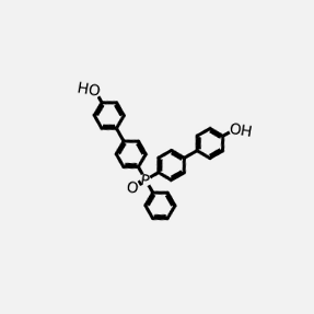 O=P(c1ccccc1)(c1ccc(-c2ccc(O)cc2)cc1)c1ccc(-c2ccc(O)cc2)cc1